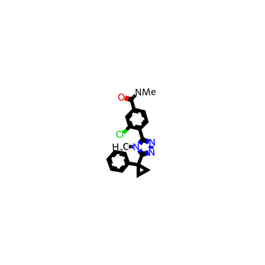 CNC(=O)c1ccc(-c2nnc(C3(c4ccccc4)CC3)n2C)c(Cl)c1